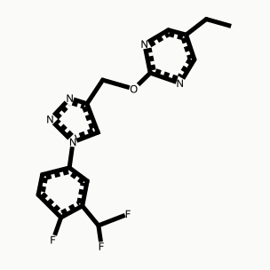 CCc1cnc(OCc2cn(-c3ccc(F)c(C(F)F)c3)nn2)nc1